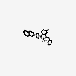 CC1C=C2C(Cc3ccccc3)=NN=C(N3CCN(c4ccc5ccccc5c4)CC3)C2CC1